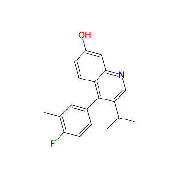 Cc1cc(-c2c(C(C)C)cnc3cc(O)ccc23)ccc1F